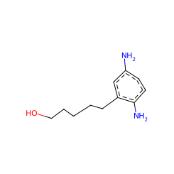 Nc1ccc(N)c(CCCCCO)c1